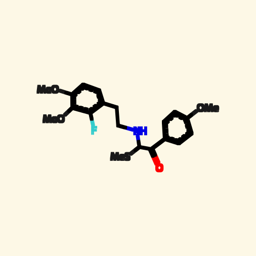 COc1ccc(C(=O)C(NCCc2ccc(OC)c(OC)c2F)SC)cc1